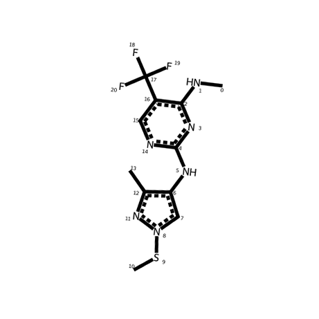 CNc1nc(Nc2cn(SC)nc2C)ncc1C(F)(F)F